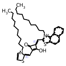 CCCCCCCCCCN1C=CS/C1=C/C1=C(O)C(=C\c2sc3ccc4ccccc4c3[n+]2CCCCCCCCCC)/C1=O